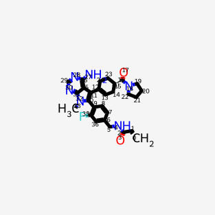 C=CC(=O)NCc1ccc(-c2c(C3=CC[C@@H](C(=O)N4CCCC4)CC3)c3c(N)ncnc3n2C)c(F)c1